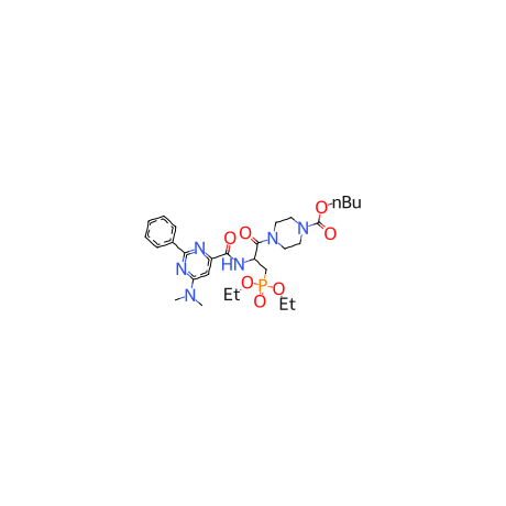 CCCCOC(=O)N1CCN(C(=O)C(CP(=O)(OCC)OCC)NC(=O)c2cc(N(C)C)nc(-c3ccccc3)n2)CC1